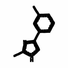 Cc1cccc(-c2c[nH]c(C)n2)c1